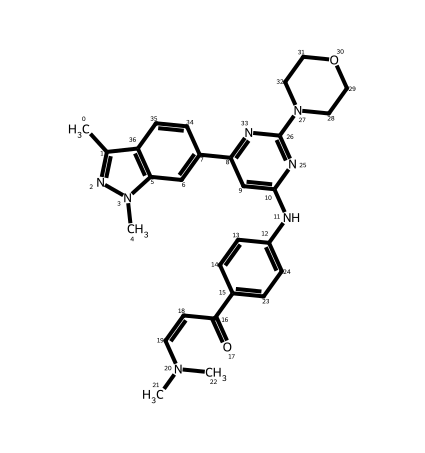 Cc1nn(C)c2cc(-c3cc(Nc4ccc(C(=O)/C=C\N(C)C)cc4)nc(N4CCOCC4)n3)ccc12